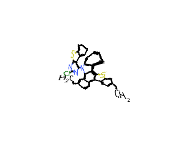 C=Cc1ccc2c(c1)sc1c2c2ccc(C=C)cc2c2c1c1ccccc1n2-c1nc(Cl)nc2sc3ccccc3c12